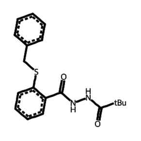 CC(C)(C)C(=O)NNC(=O)c1ccccc1SCc1ccccc1